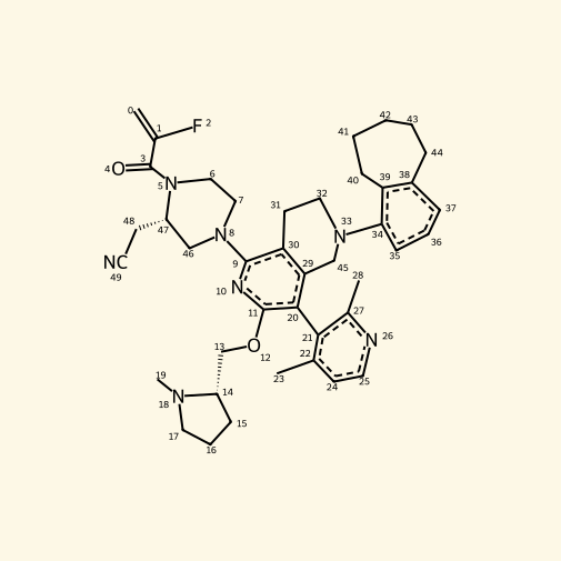 C=C(F)C(=O)N1CCN(c2nc(OC[C@@H]3CCCN3C)c(-c3c(C)ccnc3C)c3c2CCN(c2cccc4c2CCCCC4)C3)C[C@@H]1CC#N